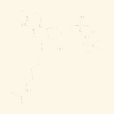 CC(=O)NCCCCCCOC1[C@@H](O)[C@@H](COP(=O)(O)OP(=O)(O)OP(=O)(O)O)O[C@H]1n1ccc(=O)[nH]c1=O